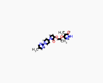 Cc1cnc(N2CCC(N3CC[C@H](OC[C@H](C)Oc4cn[nH]c(=O)c4C)C3=O)CC2)nc1